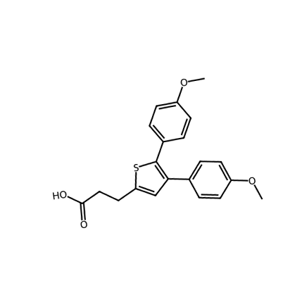 COc1ccc(-c2cc(CCC(=O)O)sc2-c2ccc(OC)cc2)cc1